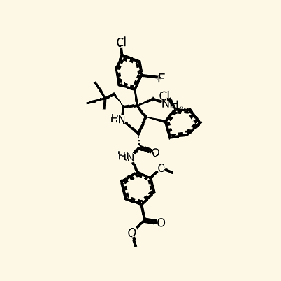 COC(=O)c1ccc(NC(=O)[C@@H]2N[C@@H](CC(C)(C)C)[C@](CN)(c3ccc(Cl)cc3F)[C@H]2c2ccccc2Cl)c(OC)c1